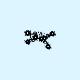 COc1cc(C2C=Cc3c(OCc4ccccc4)cc(OCc4ccccc4)cc3O2)cc(OCc2ccccc2)c1OCc1ccccc1